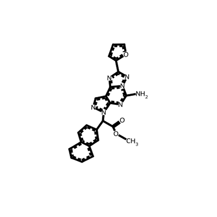 COC(=O)C(c1ccc2ccccc2c1)n1ncc2c1nc(N)n1nc(-c3ccco3)nc21